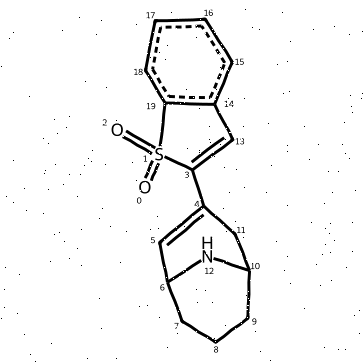 O=S1(=O)C(C2=CC3CCCC(C2)N3)=Cc2ccccc21